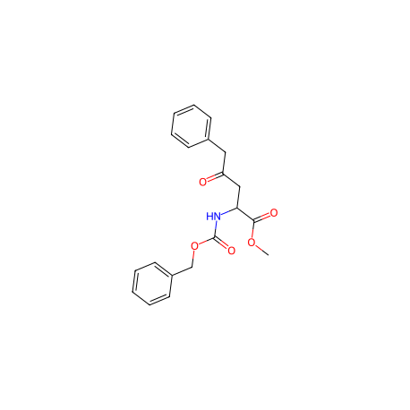 COC(=O)C(CC(=O)Cc1ccccc1)NC(=O)OCc1ccccc1